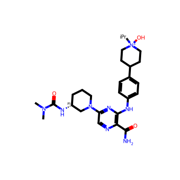 CC(C)[N+]1(O)CCC(c2ccc(Nc3nc(N4CCC[C@@H](NC(=O)N(C)C)C4)cnc3C(N)=O)cc2)CC1